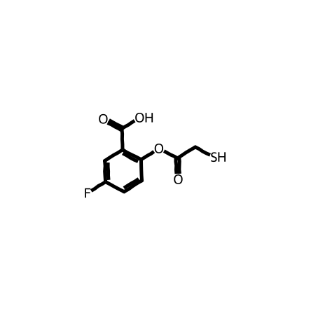 O=C(CS)Oc1ccc(F)cc1C(=O)O